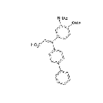 COc1ccc(C(=CC(=O)O)c2ccc(-c3ccccc3)cc2)cc1NC(C)=O